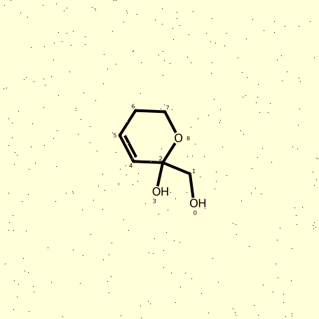 OCC1(O)C=CCCO1